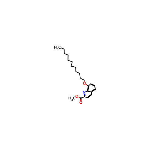 CCCCCCCCCCCCOc1cccc2ccc(C(=O)OC)nc12